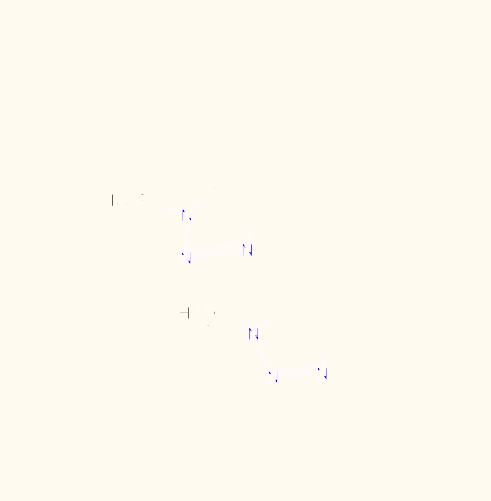 O=C(O)n1nnc2ccccc21.O=S(=O)(O)n1nnc2ccccc21